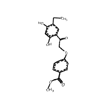 CCc1cc(C(=O)COc2ccc(C(=O)OC)cc2)c(O)cc1O